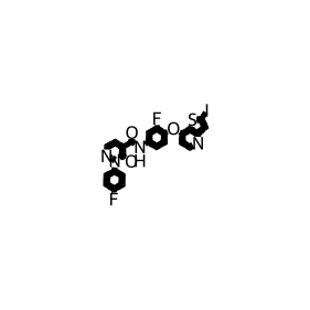 O=C(Nc1ccc(Oc2ccnc3cc(I)sc23)c(F)c1)c1ccnn(-c2ccc(F)cc2)c1=O